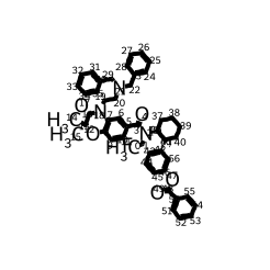 CCN(C(=O)c1cc2c(cc1F)OC(C)(C)C(=O)N2CCN(Cc1ccccc1)Cc1ccccc1)[C@H]1CCCC[C@@H]1c1cccc(OC(=O)c2ccccc2)c1